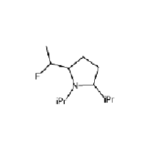 CC(C)C1CCC(C(C)F)N1C(C)C